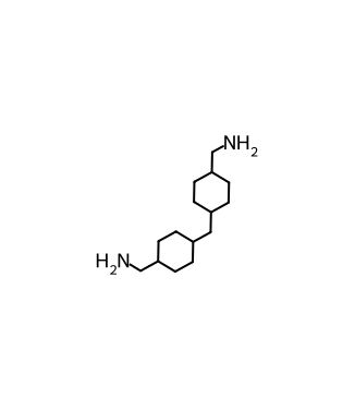 NCC1CCC(CC2CCC(CN)CC2)CC1